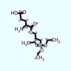 CCO[Si](CCCOC(=O)C(N)CCC(=O)O)(OCC)OCC